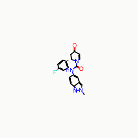 Cn1cc2cc(NC(=O)N3C=CC(=O)C[C@H]3c3ccc(F)cc3)ccc2n1